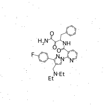 CCN(CC)Cc1cn(-c2ncccc2C(=O)NC(Cc2ccccc2)C(=O)C(N)=O)nc1-c1ccc(F)cc1